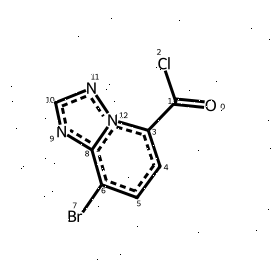 O=C(Cl)c1ccc(Br)c2ncnn12